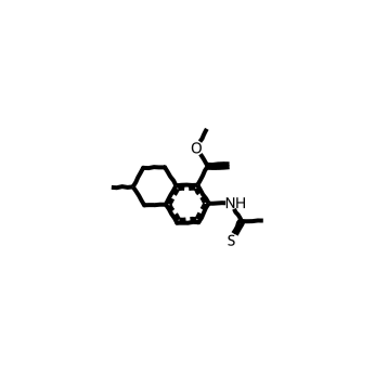 C=C(OC)c1c(NC(C)=S)ccc2c1CCC(C)C2